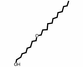 CCCCCCCCCCCCOCCCCCCCCO